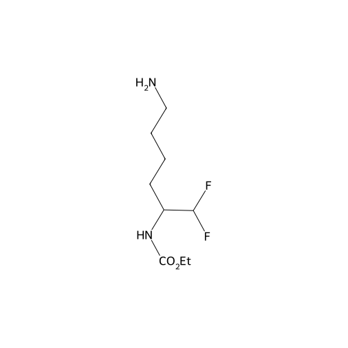 CCOC(=O)NC(CCCCN)C(F)F